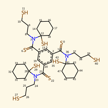 S=C(c1cc(C(=S)N(CCCS)C2(S)CCCCC2)cc(C(=S)N(CCCS)C2(S)CCCCC2)c1)N(CCCS)C1(S)CCCCC1